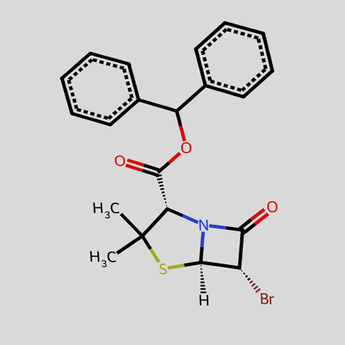 CC1(C)S[C@@H]2[C@@H](Br)C(=O)N2[C@H]1C(=O)OC(c1ccccc1)c1ccccc1